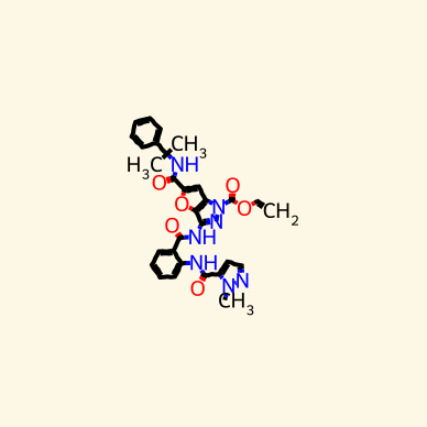 C=COC(=O)n1nc(NC(=O)c2ccccc2NC(=O)c2ccnn2C)c2oc(C(=O)NC(C)(C)c3ccccc3)cc21